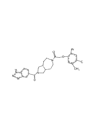 Cc1cc(OCC(=O)N2CCC3CN(C(=O)c4ccc5[nH]nnc5c4)CC3CC2)c(C(C)C)cc1Cl